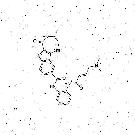 C[C@@H]1CNc2c(sc3ccc(C(=O)Nc4ccccc4NC(=O)/C=C/CN(C)C)cc23)C(=O)N1